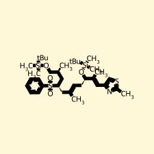 CC(=CC[C@H](O[Si](C)(C)C(C)(C)C)C(C)=Cc1csc(C)n1)C[C@@H](C[C@H](C)CO[Si](C)(C)C(C)(C)C)S(=O)(=O)c1ccccc1